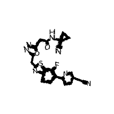 N#Cc1ccc(-c2ccc3nc(Cc4nnc(CC(=O)NC5(C#N)CC5)o4)sc3c2F)nc1